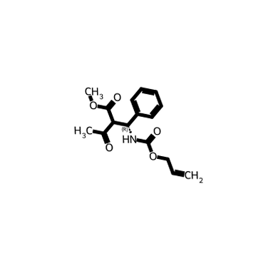 C=CCOC(=O)N[C@@H](c1ccccc1)C(C(C)=O)C(=O)OC